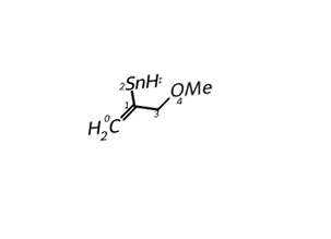 C=[C]([SnH])COC